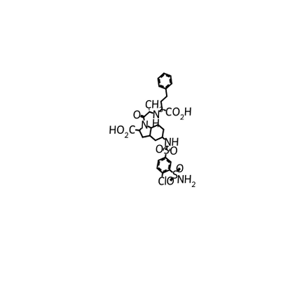 C[C@H](N[C@@H](CCc1ccccc1)C(=O)O)C(=O)N1C(C(=O)O)CC2CC(NS(=O)(=O)c3ccc(Cl)c(S(N)(=O)=O)c3)CCC21